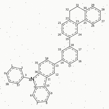 c1ccc(-n2c3ccccc3c3cc(-c4cccc(-c5ccc6c(c5)-c5ccccc5CC6)c4)ccc32)cc1